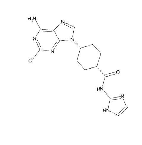 Nc1nc(Cl)nc2c1ncn2[C@H]1CC[C@@H](C(=O)Nc2ncc[nH]2)CC1